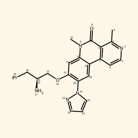 Cc1nccc2c1c(=O)n(C)c1cc(OC[C@@H](N)CC(C)C)c(-n3cccn3)cc21